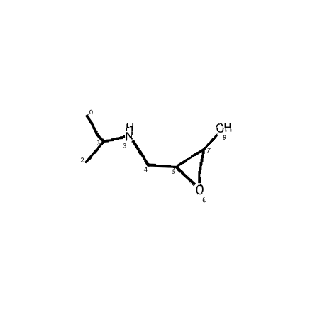 CC(C)NCC1OC1O